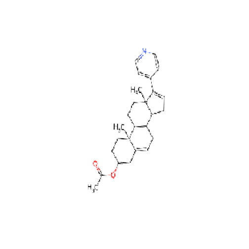 CC(=O)OC1CCC2(C)C(=CCC3C2CCC2(C)C(c4ccncc4)=CCC32)C1